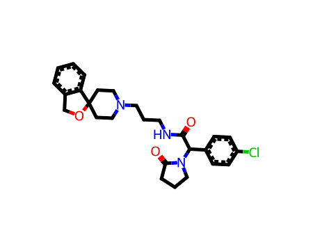 O=C(NCCCN1CCC2(CC1)OCc1ccccc12)C(c1ccc(Cl)cc1)N1CCCC1=O